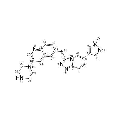 Cn1cc(-c2ccc3nnc(Sc4ccc5ncc(N6CCNCC6)cc5c4)n3c2)cn1